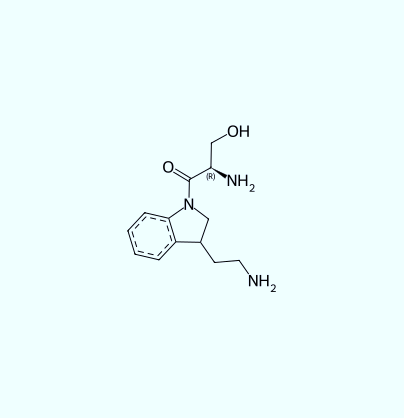 NCCC1CN(C(=O)[C@H](N)CO)c2ccccc21